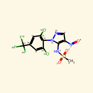 CS(=O)(=O)Nc1c(N=O)cnn1-c1c(Cl)cc(C(F)(F)F)cc1Cl